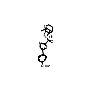 CC(=O)Nc1ccc(-c2cnc(C(=O)N[C@@H]3C4CCN(CC4)[C@H]3C)s2)cc1